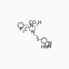 O=C(O)N1CCN(CCSc2ccc3nn[nH]c3c2)CC1(Cc1ccccc1)C(F)(F)F